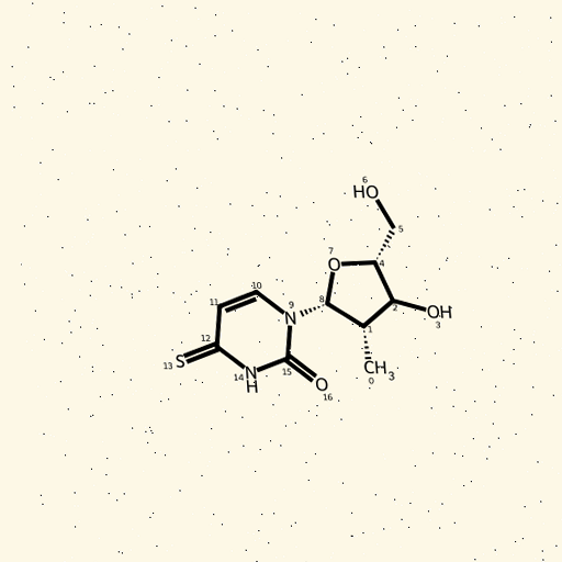 C[C@H]1C(O)[C@@H](CO)O[C@H]1n1ccc(=S)[nH]c1=O